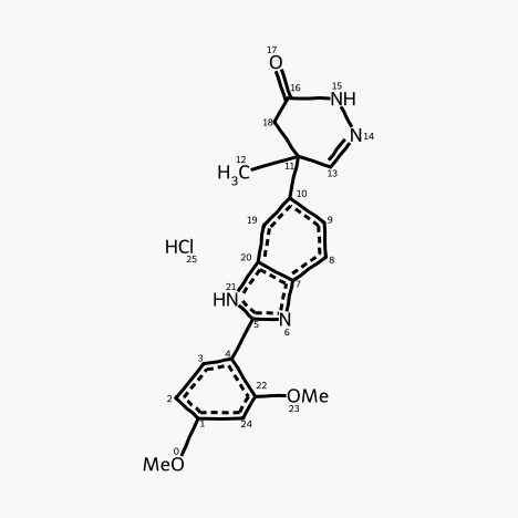 COc1ccc(-c2nc3ccc(C4(C)C=NNC(=O)C4)cc3[nH]2)c(OC)c1.Cl